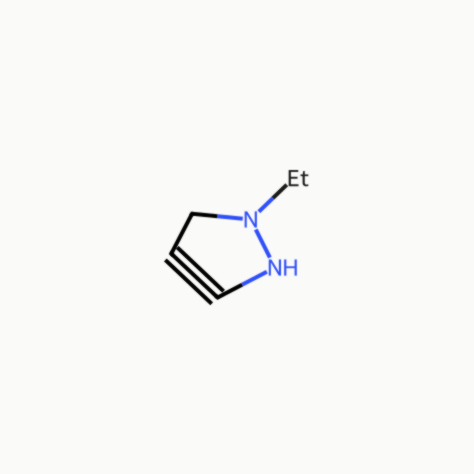 CCN1CC#CN1